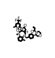 C=CC(=O)N1CCOC[C@H]1c1ccc(CN2C[C@H]3CC(=O)N(c4cc(C(F)(F)F)cc(C)n4)[C@@H]3C(=O)N(C)c3cccc(C)c32)cc1